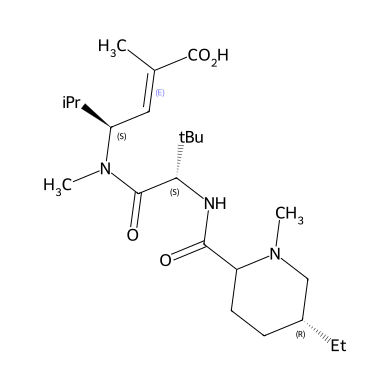 CC[C@@H]1CCC(C(=O)N[C@H](C(=O)N(C)[C@H](/C=C(\C)C(=O)O)C(C)C)C(C)(C)C)N(C)C1